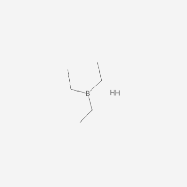 CCB(CC)CC.[HH]